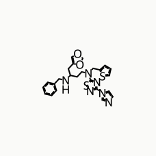 C1=C(CC(CCN(Cc2cccs2)c2nc(-n3ccnc3)ns2)NCc2ccccc2)OCO1